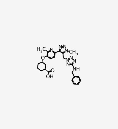 Cc1nc(-c2nnn(C)c2Cn2nnc(NCc3ccccc3)n2)ccc1O[C@H]1CCC[C@H](C(=O)O)C1